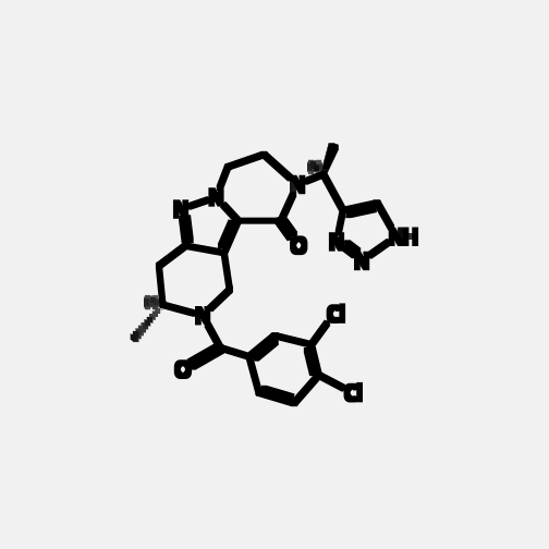 C[C@@H]1Cc2nn3c(c2CN1C(=O)c1ccc(Cl)c(Cl)c1)C(=O)N([C@@H](C)c1c[nH]nn1)CC3